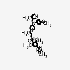 COc1ccc(N(Cc2cnccc2C)C2CCN([C@H](C)CCNC(=O)c3c(C)cc(-c4nnn(C)n4)cc3C)CC2)cc1